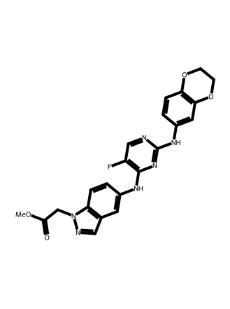 COC(=O)Cn1ncc2cc(Nc3nc(Nc4ccc5c(c4)OCCO5)ncc3F)ccc21